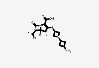 C[C@@H](O)[C@H]1C(=O)N2C(C(=O)O)=C(SC3CN(C4CC(N)C4)C3)[C@H](C)[C@H]12